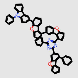 c1ccc(-c2nc(-c3cc(-c4ccccc4)c4c(c3)oc3ccccc34)nc(-c3cccc4oc5ccc(-c6cccc7oc8c(-c9ccc%10c(c9)c9ccccc9n%10-c9ccccc9)cccc8c67)cc5c34)n2)cc1